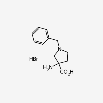 Br.NC1(C(=O)O)CCN(Cc2ccccc2)C1